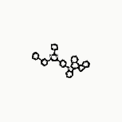 c1ccc(-c2cccc(-c3cc(-c4ccc(-n5c6ccccc6c6c7ccc8ccccc8c7c7ccccc7c65)cc4)nc(-c4ccccc4)n3)c2)cc1